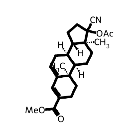 COC(=O)C1=CC2=CC[C@@H]3[C@@H](CC[C@@]4(C)[C@H]3CCC4(C#N)OC(C)=O)[C@@]2(C)CC1